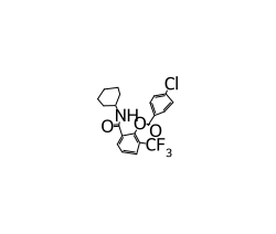 O=C(Oc1c(C(=O)NC2CCCCC2)cccc1C(F)(F)F)c1ccc(Cl)cc1